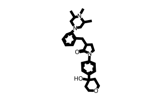 CC1CN(c2ccccc2CC2CCN(c3ccc(C4(O)CCOCC4)cc3)C2=O)CC(C)N1C